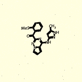 CSc1ccccc1C(=O)c1nc(Nc2cc(C)[nH]n2)c2cccn2n1